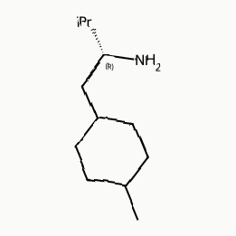 CC1CCC(C[C@@H](N)C(C)C)CC1